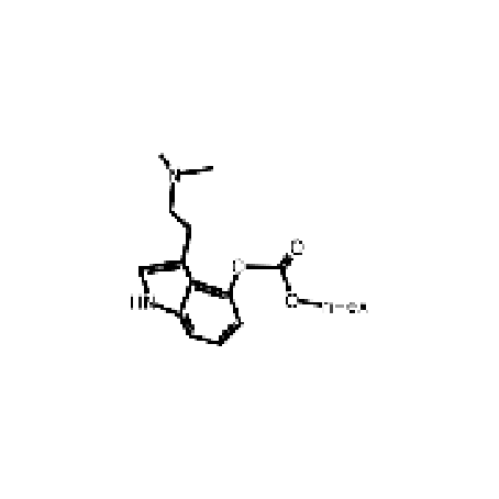 CCCCCCOC(=O)Oc1cccc2[nH]cc(CCN(C)C)c12